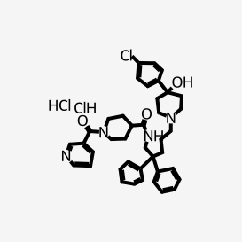 Cl.Cl.O=C(NCC(CCCN1CCC(O)(c2ccc(Cl)cc2)CC1)(c1ccccc1)c1ccccc1)C1CCN(C(=O)c2cccnc2)CC1